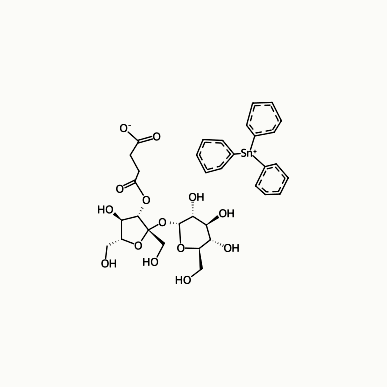 O=C([O-])CCC(=O)O[C@H]1[C@H](O)[C@@H](CO)O[C@@]1(CO)O[C@H]1O[C@H](CO)[C@@H](O)[C@H](O)[C@H]1O.c1cc[c]([Sn+]([c]2ccccc2)[c]2ccccc2)cc1